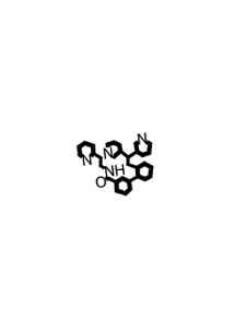 O=C(NCCc1ccccn1)c1cccc(-c2ccccc2CC(c2cccnc2)c2cccnc2)c1